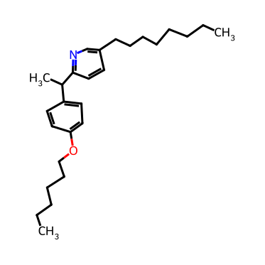 CCCCCCCCc1ccc(C(C)c2ccc(OCCCCCC)cc2)nc1